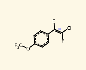 F/C(Cl)=C(/F)c1ccc(OC(F)(F)F)cc1